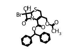 CC(=O)OCC1=C(C(=O)OC(c2ccccc2)c2ccccc2)N2C(=O)[C@](Cl)(Br)[C@H]2SC1